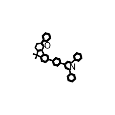 CC1(C)C2=C(c3cc(-c4ccc(-c5cc(-c6ccccc6)nc(-c6ccccc6)c5)cc4)ccc31)c1oc3ccccc3c1CC2